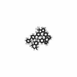 CC1(C)CCC(C)(C)c2cc(N3B4c5cccc6c5N(c5ccccc5C65c6ccccc6-c6ccccc65)c5c4c(cc4c5-c5ccccc5C4(C)C)-c4ccc5c(oc6ccccc65)c43)ccc21